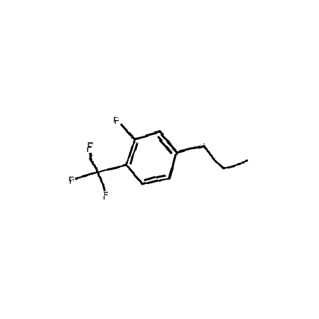 CC[CH]c1ccc(C(F)(F)F)c(F)c1